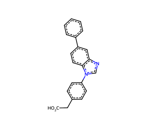 O=C(O)Cc1ccc(-n2cnc3cc(-c4ccccc4)ccc32)cc1